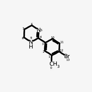 Cc1cc(C2=NCCCN2)ccc1Br